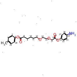 Cc1ccc(OC(=O)CCCCCOCCOCC(=O)Oc2ccc(N)cc2)cc1